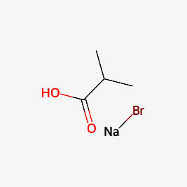 CC(C)C(=O)O.[Na][Br]